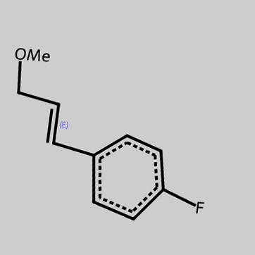 [CH2]OC/C=C/c1ccc(F)cc1